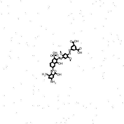 COc1cc(N=Nc2c(S(=O)(=O)O)cc3ccc(N=Nc4c(N)cc(N)cc4C(=O)O)cc3c2O)c(OC)cc1N=Nc1cc(C(=O)O)cc(C(=O)O)c1